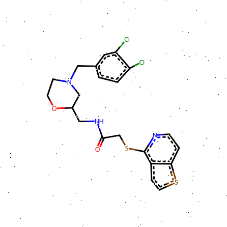 O=C(CSc1nccc2sccc12)NCC1CN(Cc2ccc(Cl)c(Cl)c2)CCO1